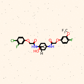 O=C(COc1ccc(F)c(OC(F)(F)F)c1)NC12CCC(NC(=O)COc3ccc(Cl)c(F)c3)(CC1)[C@@H](O)C2